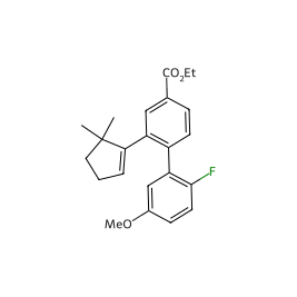 CCOC(=O)c1ccc(-c2cc(OC)ccc2F)c(C2=CCCC2(C)C)c1